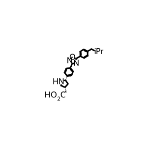 CC(C)Cc1ccc(-c2nc(-c3ccc([C@@H]4C[C@H](CC(=O)O)CN4)cc3)no2)cc1